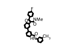 CNC(=O)c1c(-c2ccc(F)cc2)oc2ccc(-c3cccc(C(=O)Nc4cccc(C)c4)c3)cc12